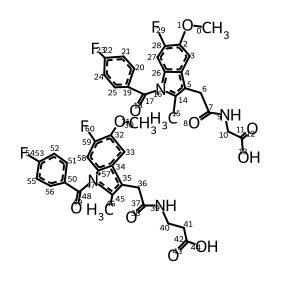 COc1cc2c(CC(=O)NCC(=O)O)c(C)n(C(=O)c3ccc(F)cc3)c2cc1F.COc1cc2c(CC(=O)NCCC(=O)O)c(C)n(C(=O)c3ccc(F)cc3)c2cc1F